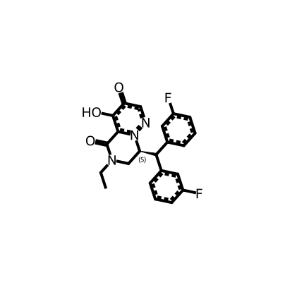 CCN1C[C@H](C(c2cccc(F)c2)c2cccc(F)c2)n2ncc(=O)c(O)c2C1=O